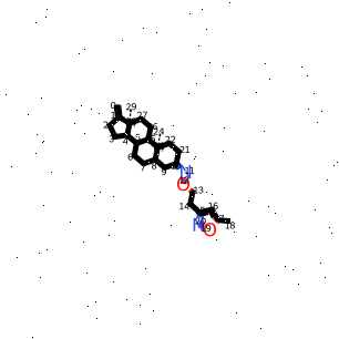 C=C1CCC2C3CCC4CC(=NOCCc5cc(C)on5)CC[C@]4(C)C3CC[C@]12C